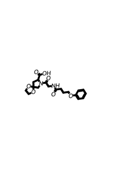 O=C(CCCOc1ccccc1)NCC(=O)N1CC2(CC1C(=O)O)OCCO2